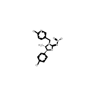 C[C@H]1[C@H](c2ccc(Cl)cc2)O/C(=N/[N+](=O)[O-])N1Cc1ccc(Cl)nc1